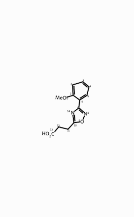 COc1ccccc1-c1noc(CCC(=O)O)n1